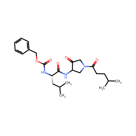 CC(C)CCC(=O)N1CC(=O)C(NC(=O)[C@H](CC(C)C)NC(=O)OCc2ccccc2)C1